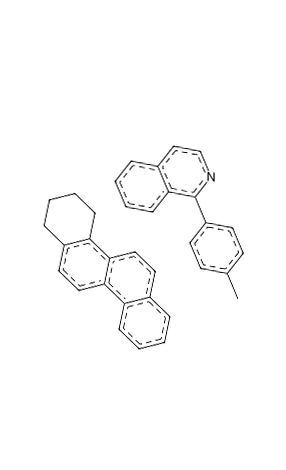 Cc1ccc(-c2nccc3ccccc23)cc1.c1ccc2c(c1)ccc1c3c(ccc12)CCCC3